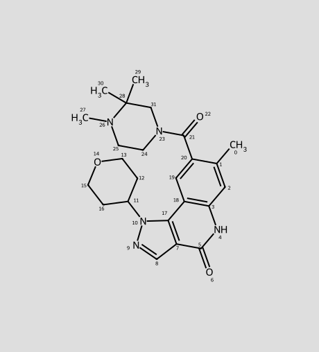 Cc1cc2[nH]c(=O)c3cnn(C4CCOCC4)c3c2cc1C(=O)N1CCN(C)C(C)(C)C1